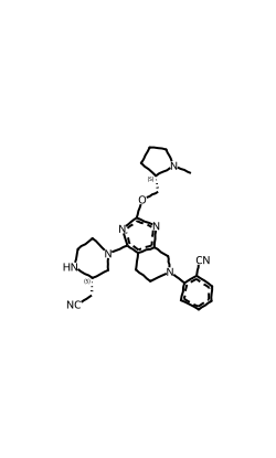 CN1CCC[C@H]1COc1nc2c(c(N3CCN[C@@H](CC#N)C3)n1)CCN(c1ccccc1C#N)C2